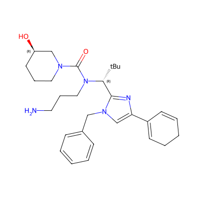 CC(C)(C)[C@H](c1nc(C2=CCCC=C2)cn1Cc1ccccc1)N(CCCN)C(=O)N1CCC[C@@H](O)C1